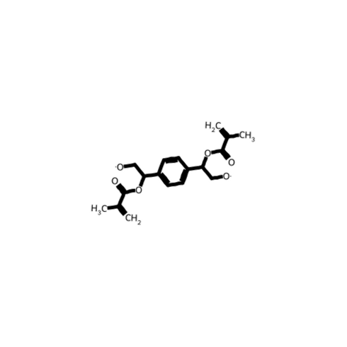 C=C(C)C(=O)OC(C[O])c1ccc(C(C[O])OC(=O)C(=C)C)cc1